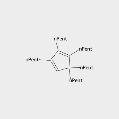 CCCCCC1=[C]C(CCCCC)(CCCCC)C(CCCCC)=C1CCCCC